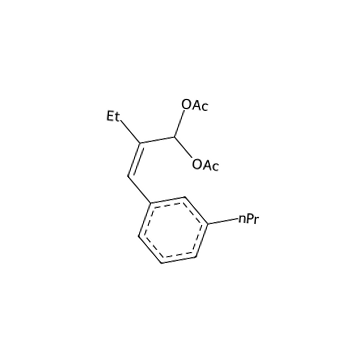 CCCc1cccc(C=C(CC)C(OC(C)=O)OC(C)=O)c1